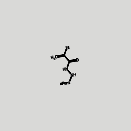 C=C(CC)C(=O)NNCCCCC